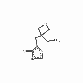 CCC1(Cn2nc[nH]c2=O)COC1